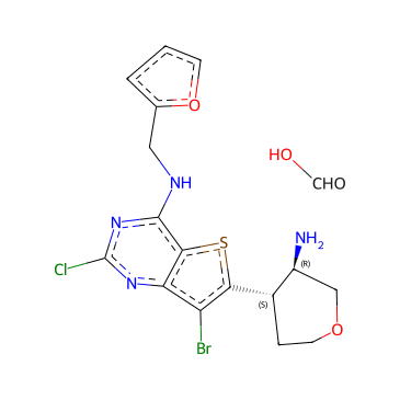 N[C@H]1COCC[C@@H]1c1sc2c(NCc3ccco3)nc(Cl)nc2c1Br.O=CO